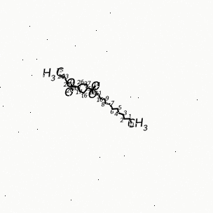 CCCCCCCCCCCCOC(=O)C1CCC(C(=O)OCCCC)CC1